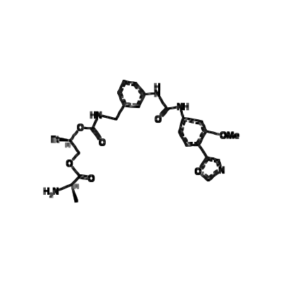 CC[C@H](COC(=O)[C@@H](C)N)OC(=O)NCc1cccc(NC(=O)Nc2ccc(-c3cnco3)c(OC)c2)c1